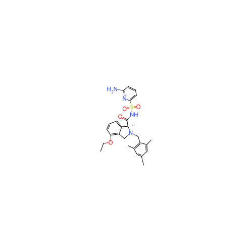 CCOc1cccc2c1CN(Cc1c(C)cc(C)cc1C)[C@]2(C)C(=O)NS(=O)(=O)c1cccc(N)n1